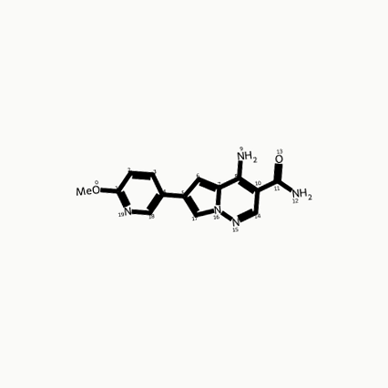 COc1ccc(-c2cc3c(N)c(C(N)=O)cnn3c2)cn1